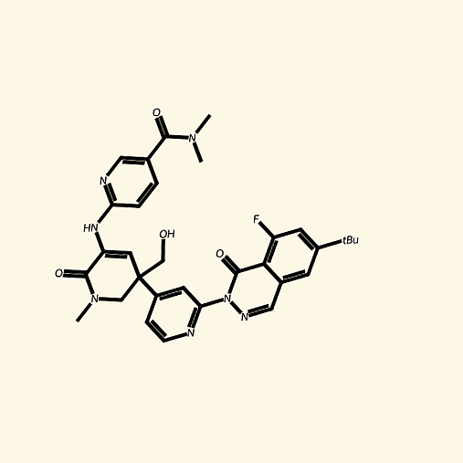 CN(C)C(=O)c1ccc(NC2=CC(CO)(c3ccnc(-n4ncc5cc(C(C)(C)C)cc(F)c5c4=O)c3)CN(C)C2=O)nc1